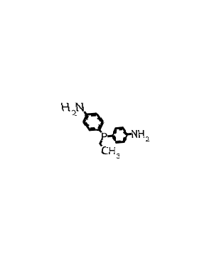 CCP(c1ccc(N)cc1)c1ccc(N)cc1